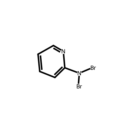 BrN(Br)c1ccccn1